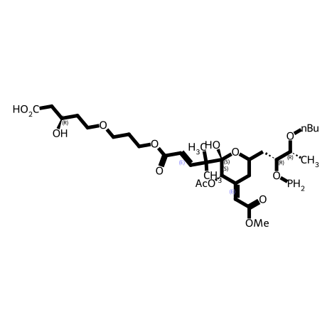 CCCCO[C@H](C)[C@@H](CC1C/C(=C\C(=O)OC)[C@H](OC(C)=O)[C@](O)(C(C)(C)/C=C/C(=O)OCCCOCC[C@@H](O)CC(=O)O)O1)OP